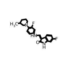 CC1CCCN(c2ccc(NC=C3C(=O)Nc4cc(F)ccc43)cc2F)C1